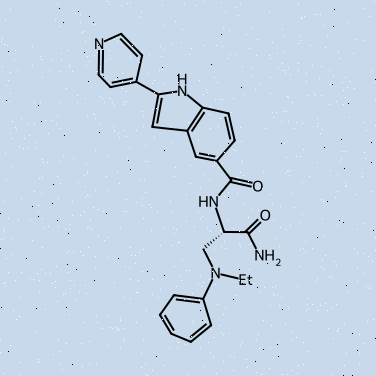 CCN(C[C@H](NC(=O)c1ccc2[nH]c(-c3ccncc3)cc2c1)C(N)=O)c1ccccc1